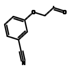 N#Cc1cccc(OC[C]=O)c1